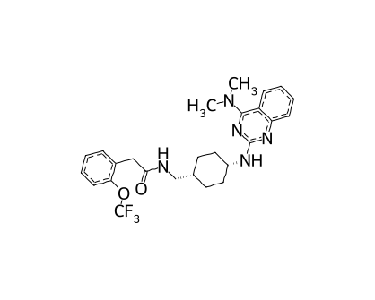 CN(C)c1nc(N[C@H]2CC[C@@H](CNC(=O)Cc3ccccc3OC(F)(F)F)CC2)nc2ccccc12